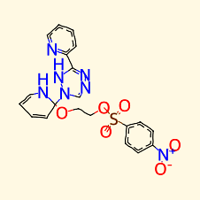 O=[N+]([O-])c1ccc(S(=O)(=O)OCCOC2(N3C=NN=C(c4ccccn4)N3)C=CC=CN2)cc1